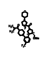 COC[C@H]1CN(C(=O)[C@@]2(F)CCN(C3CCOCC3)C2)C[C@@H]1c1ccc(C(F)(F)F)cc1N1CCC(C(=O)N(C)C)CC1